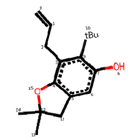 C=CCc1c2c(cc(O)c1C(C)(C)C)CC(C)(C)O2